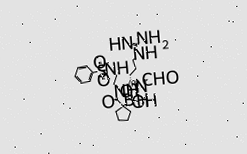 N=C(N)NCCC[C@H](NC=O)OB(O)C1(C(=O)NCCNS(=O)(=O)c2ccccc2)CCCC1